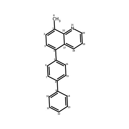 Cc1ccc(-c2ccc(-c3ccccc3)cc2)c2cccnc12